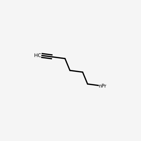 C#CCCCCCCC